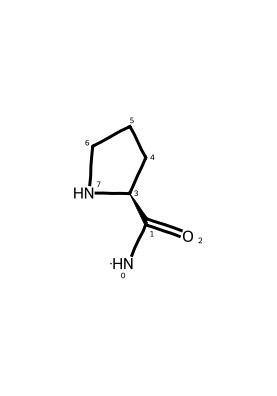 [NH]C(=O)[C@@H]1CCCN1